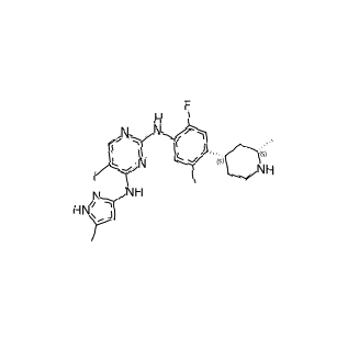 Cc1cc(Nc2nc(Nc3cc(C)c([C@H]4CCN[C@@H](C)C4)cc3F)ncc2I)n[nH]1